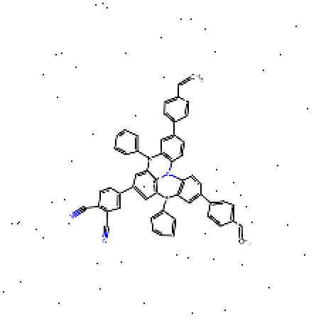 C=Cc1ccc(-c2ccc3c(c2)B(c2ccccc2)c2cc(-c4ccc(C#N)c(C#N)c4)cc4c2N3c2ccc(-c3ccc(C=C)cc3)cc2B4c2ccccc2)cc1